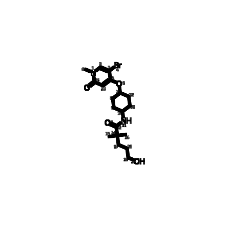 Cn1cc(Br)c(OC2CCC(NC(=O)C(C)(C)CCCO)CC2)cc1=O